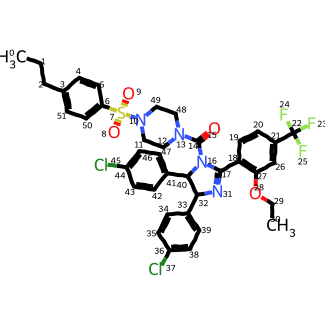 CCCc1ccc(S(=O)(=O)N2CCN(C(=O)N3C(c4ccc(C(F)(F)F)cc4OCC)=NC(c4ccc(Cl)cc4)C3c3ccc(Cl)cc3)CC2)cc1